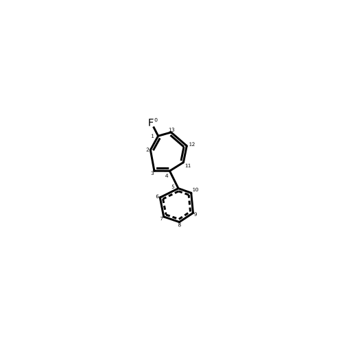 FC1=CC=C(c2ccccc2)C=C=C1